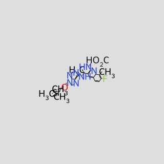 Cc1c(F)ccc2cc([C@H](C)Nc3ncnc4c3ncn4COCC[Si](C)(C)C)c(NCC(=O)O)nc12